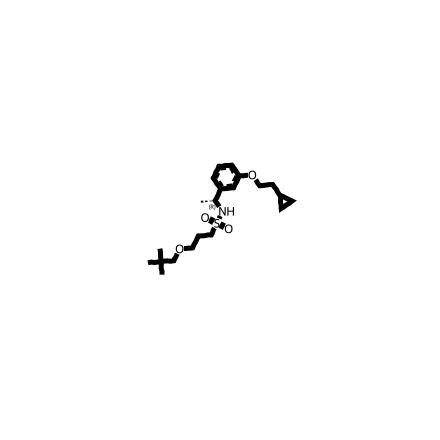 C[C@@H](NS(=O)(=O)CCCOCC(C)(C)C)c1cccc(OCCC2CC2)c1